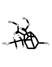 CC(C)(C)OC(=O)C1C2CC3C(N)C1C(C2C(=O)OC(C)(C)C)C3C(F)(F)C(F)(F)S(=O)(=O)O